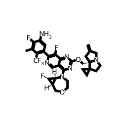 C=C1CN2CCC3(CC3)[C@@]2(COc2nc(N3CCOC[C@H]4[C@H](F)[C@H]43)c3cnc(-c4cc(N)c(F)c(C)c4C(F)(F)F)c(F)c3n2)C1